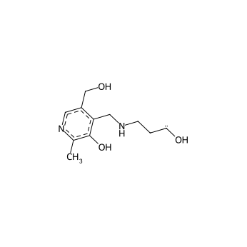 Cc1ncc(CO)c(CNCC[C]O)c1O